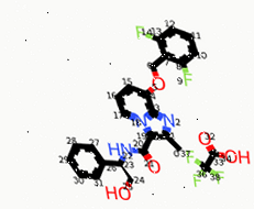 Cc1nc2c(OCc3c(F)cccc3F)cccn2c1C(=O)N[C@@H](CO)c1ccccc1.O=C(O)C(F)(F)F